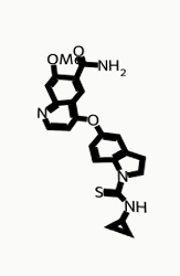 COc1cc2nccc(Oc3ccc4c(c3)CCN4C(=S)NC3CC3)c2cc1C(N)=O